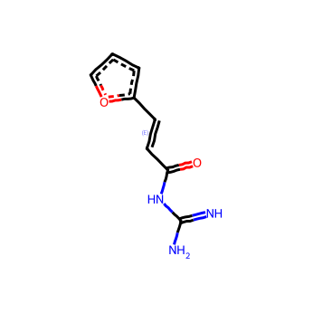 N=C(N)NC(=O)/C=C/c1ccco1